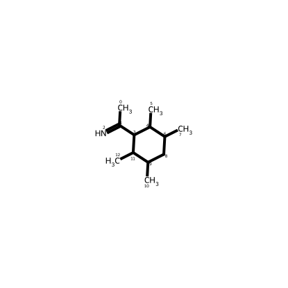 CC(=N)C1C(C)C(C)CC(C)C1C